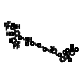 C=C/C(=C\N(CCOCCOCCOCC(=O)NCCOc1ccc(-c2cc(C(F)(F)F)n[nH]2)c(O)c1-c1cncc(C(F)(F)F)c1)N=C)COc1cccc2c1C(=O)N(C1CCC(=O)NC1=O)C2=O